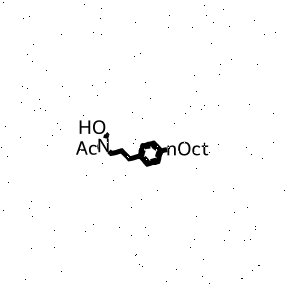 CCCCCCCCc1ccc(CCCN(CO)C(C)=O)cc1